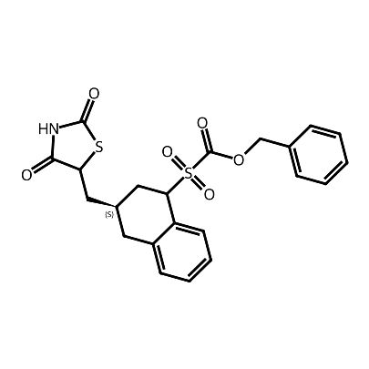 O=C1NC(=O)C(C[C@@H]2Cc3ccccc3C(S(=O)(=O)C(=O)OCc3ccccc3)C2)S1